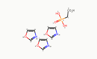 O=C(O)CP(=O)(O)O.c1cocn1.c1cocn1.c1cocn1